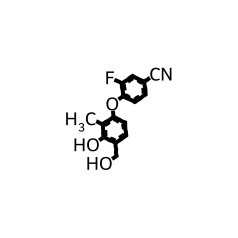 Cc1c(Oc2ccc(C#N)cc2F)ccc(CO)c1O